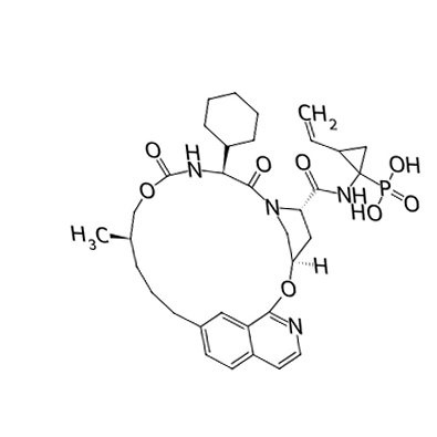 C=CC1CC1(NC(=O)[C@@H]1C[C@@H]2CN1C(=O)[C@H](C1CCCCC1)NC(=O)OC[C@H](C)CCCc1ccc3ccnc(c3c1)O2)P(=O)(O)O